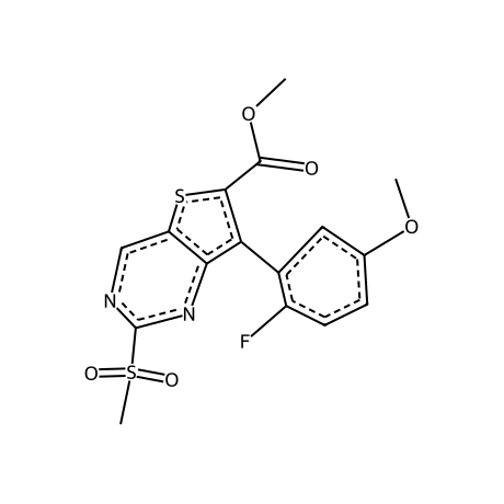 COC(=O)c1sc2cnc(S(C)(=O)=O)nc2c1-c1cc(OC)ccc1F